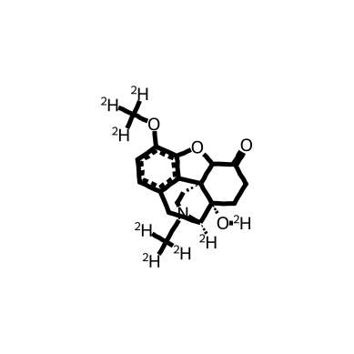 [2H]O[C@@]12CCC(=O)C3Oc4c(OC([2H])([2H])[2H])ccc5c4[C@@]31CCN(C([2H])([2H])[2H])[C@]2([2H])C5